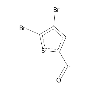 O=[C]c1cc(Br)c(Br)s1